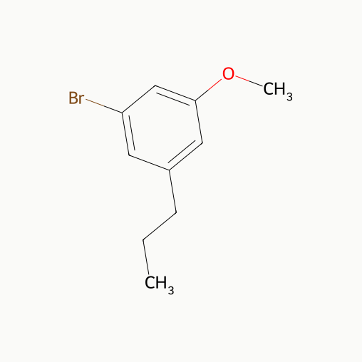 CCCc1cc(Br)cc(OC)c1